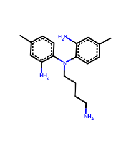 Cc1ccc(N(CCCCN)c2ccc(C)cc2N)c(N)c1